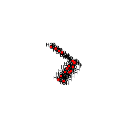 N.N.N.N.N.N.O=S(=O)(O)OOS(=O)(=O)O.O=S(=O)(O)OOS(=O)(=O)O.O=S(=O)(O)OOS(=O)(=O)O.O=S(=O)(O)OOS(=O)(=O)O.O=S(=O)(O)OOS(=O)(=O)O.O=S(=O)(O)OOS(=O)(=O)O.O=S(=O)(O)OOS(=O)(=O)O.O=S(=O)(O)OOS(=O)(=O)O